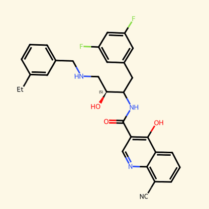 CCc1cccc(CNC[C@H](O)C(Cc2cc(F)cc(F)c2)NC(=O)c2cnc3c(C#N)cccc3c2O)c1